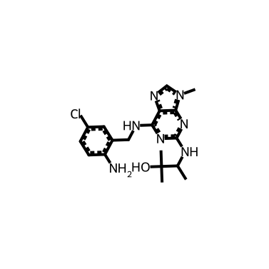 CC(Nc1nc(NCc2cc(Cl)ccc2N)c2ncn(C)c2n1)C(C)(C)O